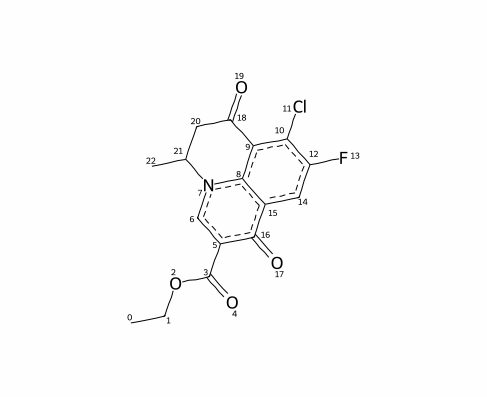 CCOC(=O)c1cn2c3c(c(Cl)c(F)cc3c1=O)C(=O)CC2C